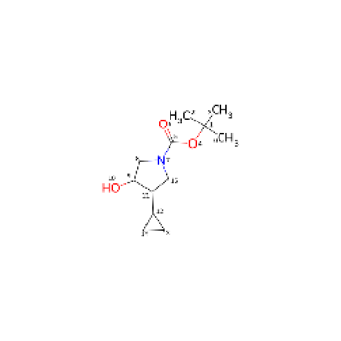 CC(C)(C)OC(=O)N1CC(O)C(C2CC2)C1